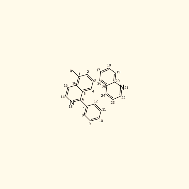 Cc1cccc2c(-c3ccccc3)nccc12.c1ccc2ncccc2c1